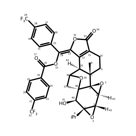 CC(C)[C@]12O[C@H]1[C@@H]1O[C@@]13[C@@]1(C)CCC4=C(/C(=C(\OC(=O)c5ccc(C(F)(F)F)cc5)c5ccc(C(F)(F)F)cc5)OC4=O)[C@@H]1C1C[C@@]3(O1)[C@@H]2O